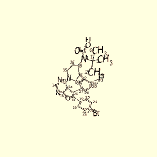 CC(C)(C)N(C(=O)O)C1CCN(c2ncnc3oc(-c4ccc(Br)cc4)c(-c4ccc(F)cc4)c23)CC1